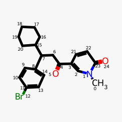 Cn1cc(C(=O)CC(c2ccc(Br)cc2)C2CCCCC2)ccc1=O